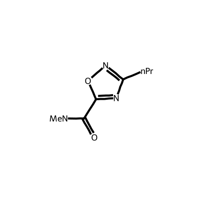 CCCc1noc(C(=O)NC)n1